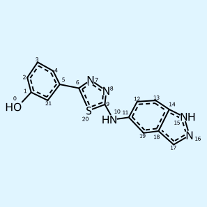 Oc1cccc(-c2nnc(Nc3ccc4[nH]ncc4c3)s2)c1